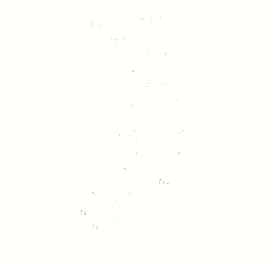 Cn1cc(-c2cnc3ccc4ccc(Cc5ccccc5C(=O)O)cc4c(=O)c3c2)cn1